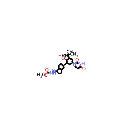 COC(=O)N/N=C1\CCc2cc(-c3cc(-n4ccc(=O)[nH]c4=O)cc(C(C)(C)C)c3OC)ccc21